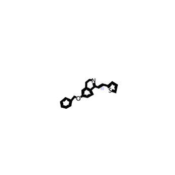 C(=C\c1cccs1)/C1=NCCc2cc(OCc3ccccc3)ccc21